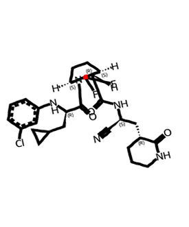 N#C[C@H](C[C@H]1CCCNC1=O)NC(=O)[C@H]1[C@@H]2CC[C@@H](CC2(F)F)N1C(=O)[C@@H](CC1CC1)Nc1cccc(Cl)c1